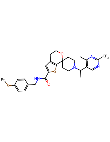 CCSc1ccc(CNC(=O)c2cc3c(s2)C2(CCN(C(C)c4cnc(C(F)(F)F)nc4C)CC2)OCC3)cc1